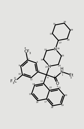 CCNC(=O)C(c1cc(C(F)(F)F)cc(C(F)(F)F)c1)(c1cccc2ccccc12)N1CCN(C2CCCCC2)CC1